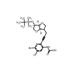 CC(C)(C)[Si](C)(C)O[C@@H]1CO[C@@H]2C(CC#Cc3nc(Br)c(Cl)cc3NC(=O)O)CO[C@@H]21